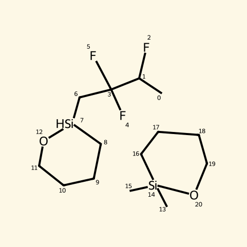 CC(F)C(F)(F)C[SiH]1CCCCO1.C[Si]1(C)CCCCO1